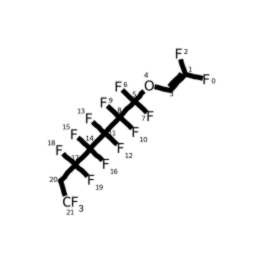 FC(F)=COC(F)(F)C(F)(F)C(F)(F)C(F)(F)C(F)(F)CC(F)(F)F